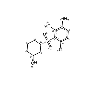 Nc1ccc(Cl)c(S(=O)(=O)[C@H]2CCC[C@H](O)C2)c1O